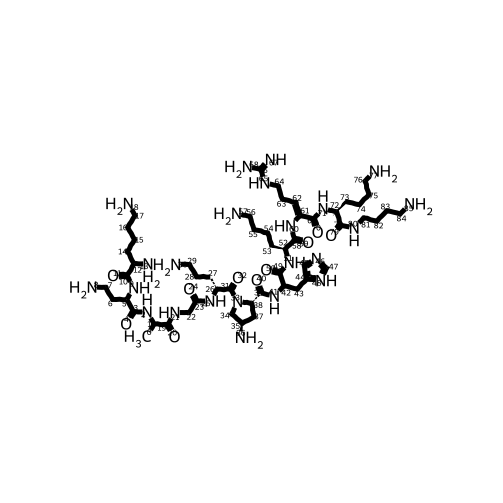 CC(NC(=O)C(CCN)NC(=O)C(N)CCCCN)C(=O)NCC(=O)N[C@H](CCCN)C(=O)N1C[C@H](N)C[C@H]1C(=O)NC(Cc1cnc[nH]1)C(=O)N[C@@H](CCCCN)C(=O)N/C(=C\CCNC(=N)N)C(=O)N[C@@H](CCCCN)C(=O)NCCCCN